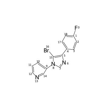 Fc1ccc(-c2ncn(-c3cccnc3)c2Br)cc1